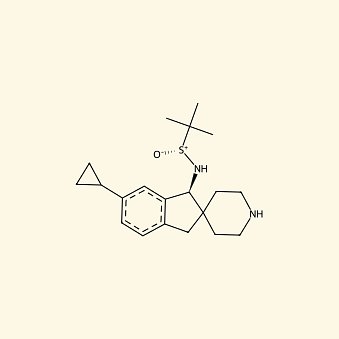 CC(C)(C)[S@@+]([O-])N[C@@H]1c2cc(C3CC3)ccc2CC12CCNCC2